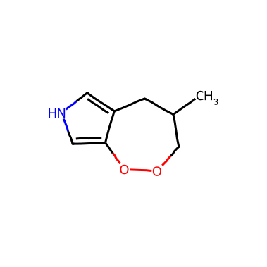 CC1COOc2c[nH]cc2C1